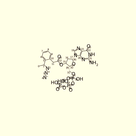 CC(N=[N+]=[N-])c1ccccc1CC(=O)OC1C[C@H](n2cnc3c(=O)[nH]c(N)nc32)O[C@@H]1COP(=O)(O)OP(=O)(O)OP(=O)(O)O